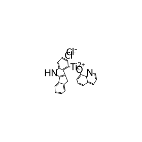 [Cl-].[Cl-].c1ccc2c(c1)Cc1c-2[nH]c2ccc[c]([Ti+2][O]c3cccc4cccnc34)c12